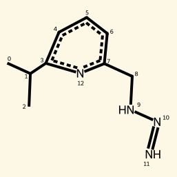 CC(C)c1cccc(CNN=N)n1